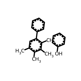 Cc1cc(-c2ccccc2)c(C)c(C)c1C.Oc1ccccc1